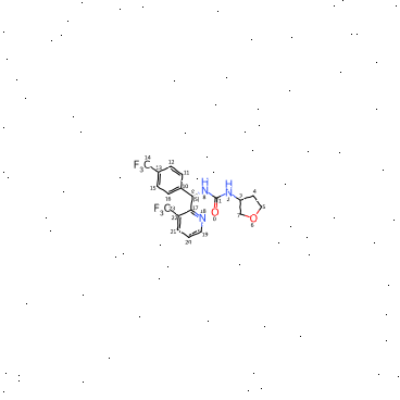 O=C(NC1CCOC1)N[C@@H](c1ccc(C(F)(F)F)cc1)c1ncccc1C(F)(F)F